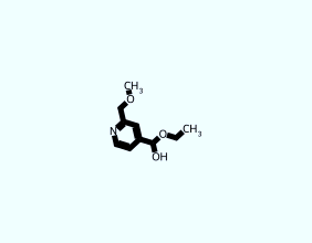 CCOC(O)c1ccnc(COC)c1